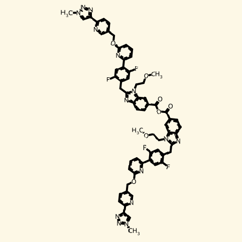 COCCn1c(Cc2cc(F)c(-c3cccc(OCc4ccc(-c5cn(C)nn5)nc4)n3)cc2F)nc2ccc(C(=O)OC(=O)c3ccc4nc(Cc5cc(F)c(-c6cccc(OCc7ccc(-c8cn(C)nn8)nc7)n6)cc5F)n(CCOC)c4c3)cc21